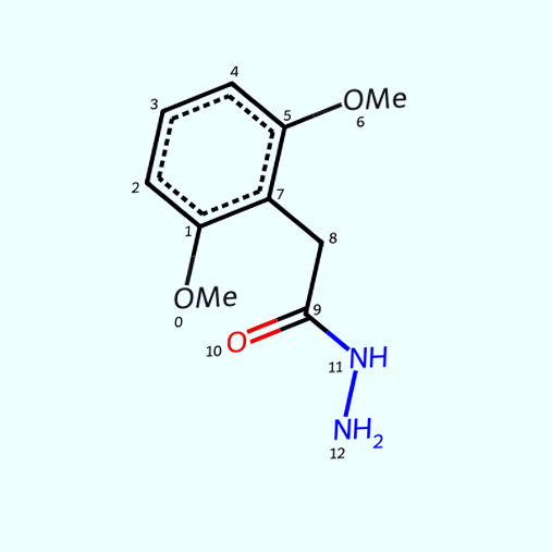 COc1cccc(OC)c1CC(=O)NN